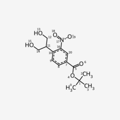 CC(C)(C)OC(=O)c1ccc(C(CO)CO)c([N+](=O)[O-])c1